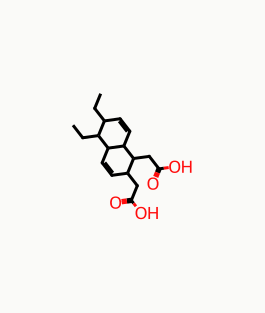 CCC1C=CC2C(C=CC(CC(=O)O)C2CC(=O)O)C1CC